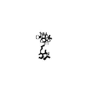 C#CC(C)/N=C(/C)C(/C=C\C)=C(C)CCCC[C@@H]1O[C@H](C(=O)NC)[C@H]2OC(C)(C)O[C@H]21